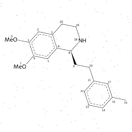 COc1cc2c(cc1OC)[C@H](CCc1cccc(C)c1)NCC2